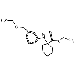 CCOCc1cccc(NC2(C(=O)OCC)CCCCC2)c1